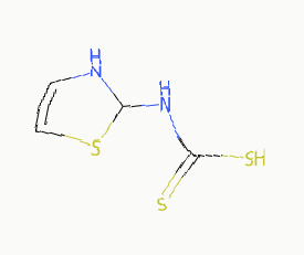 S=C(S)NC1NC=CS1